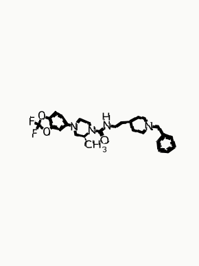 C[C@@H]1CN(c2ccc3c(c2)OC(F)(F)O3)CCN1C(=O)NCCC1CCN(Cc2ccccc2)CC1